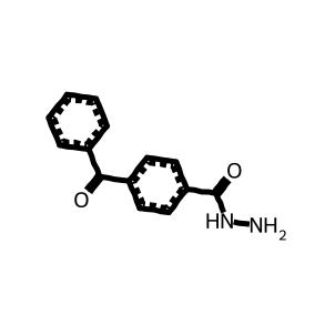 NNC(=O)c1ccc(C(=O)c2ccccc2)cc1